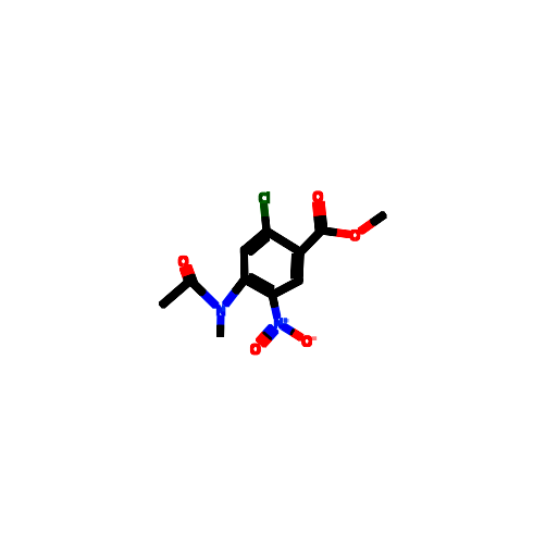 COC(=O)c1cc([N+](=O)[O-])c(N(C)C(C)=O)cc1Cl